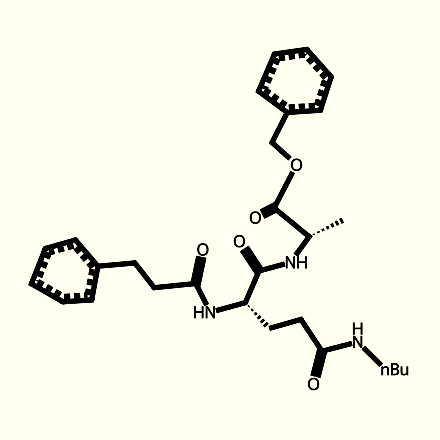 CCCCNC(=O)CC[C@H](NC(=O)CCc1ccccc1)C(=O)N[C@@H](C)C(=O)OCc1ccccc1